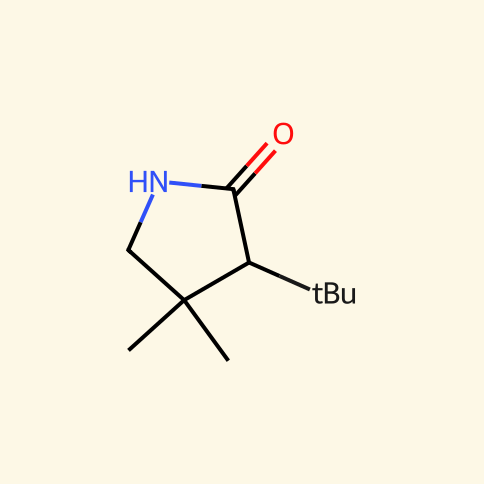 CC(C)(C)C1C(=O)NCC1(C)C